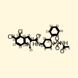 CC(=O)NS(=O)(=O)N1CCC(NC(=O)c2cc3c(Cl)c(Cl)ccc3n2C)C[C@H]1c1ccccc1